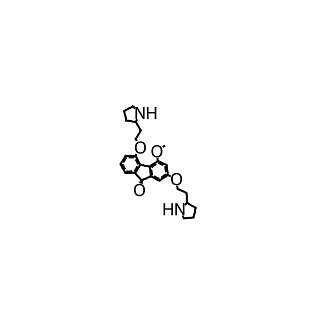 COc1cc(OCCC2CCCN2)cc2c1-c1c(OCCC3CCCN3)cccc1C2=O